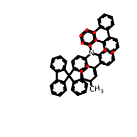 CC1C=C(c2ccccc2N(c2ccc3c(c2)-c2ccccc2C32c3ccccc3-c3ccccc32)c2ccccc2-c2ccccc2-c2ccccc2-c2ccccc2)C=CC1